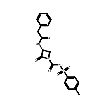 Cc1ccc(S(=O)(=O)NC(=O)N2C[C@H](NC(=O)Cc3ccccc3)C2=O)cc1